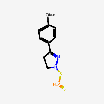 COc1ccc(C2=NN(S[PH2]=S)CC2)cc1